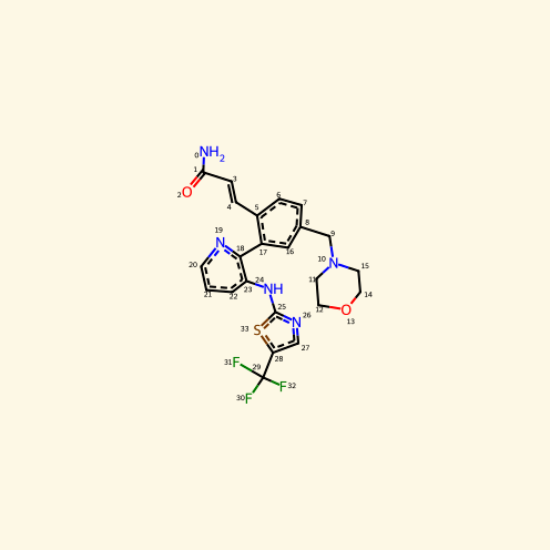 NC(=O)C=Cc1ccc(CN2CCOCC2)cc1-c1ncccc1Nc1ncc(C(F)(F)F)s1